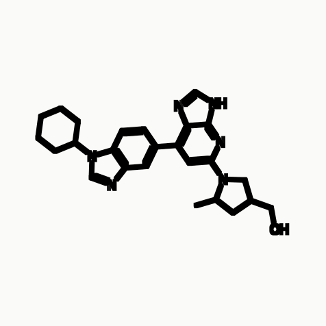 CC1CC(CO)CN1c1cc(-c2ccc3c(c2)ncn3C2CCCCC2)c2nc[nH]c2n1